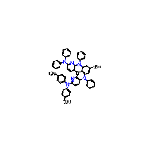 CC(C)(C)c1ccc(N(c2ccc(C(C)(C)C)cc2)c2ccc3c(n2)B2c4ccc(N(c5ccccc5)c5ccccc5)nc4N(c4ccccc4)c4cc(C(C)(C)C)cc(c42)N3c2ccccc2)cc1